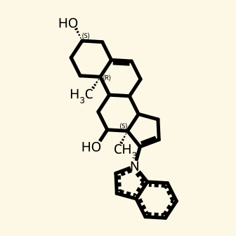 C[C@@]12C(n3ccc4ccccc43)=CCC1C1CC=C3C[C@@H](O)CC[C@]3(C)C1CC2O